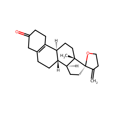 C=C1CCO[C@@]12CC[C@H]1[C@@H]3CCC4=C(CCC(=O)C4)[C@H]3CC[C@@]12C